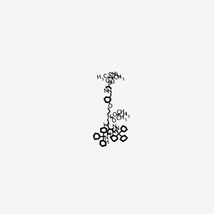 CC(C)(C)OC(=O)N(C/C=C(\I)c1cc(NC(c2ccccc2)(c2ccccc2)c2ccccc2)nc2c1nnn2C(c1ccccc1)(c1ccccc1)c1ccccc1)CCCOc1cccc(Cn2cc(B3OC(C)(C)C(C)(C)O3)cn2)c1